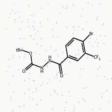 CC(C)(C)OC(=O)NNC(=O)c1ccc(Br)c(C(F)(F)F)c1